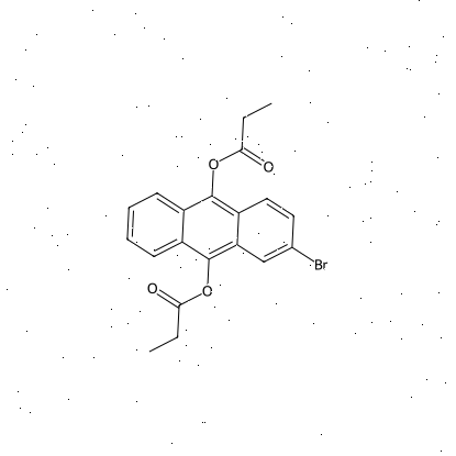 CCC(=O)Oc1c2ccccc2c(OC(=O)CC)c2cc(Br)ccc12